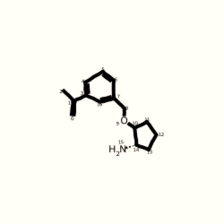 C=C(C)c1cccc(COC2CCC[C@@H]2N)c1